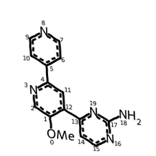 COc1cnc(-c2ccncc2)cc1-c1ccnc(N)n1